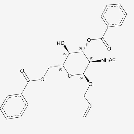 C=CCO[C@H]1O[C@H](COC(=O)c2ccccc2)[C@@H](O)[C@H](OC(=O)c2ccccc2)[C@H]1NC(C)=O